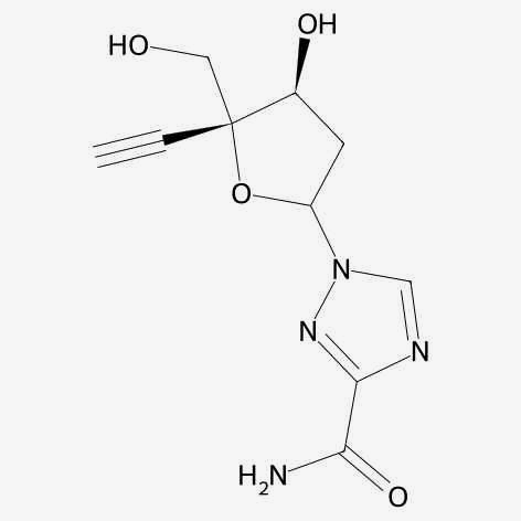 C#C[C@]1(CO)OC(n2cnc(C(N)=O)n2)C[C@@H]1O